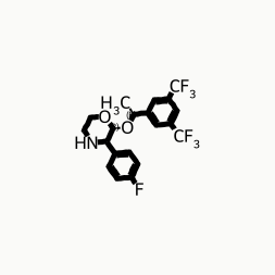 C[C@@H](O[C@H]1OCCNC1c1ccc(F)cc1)c1cc(C(F)(F)F)cc(C(F)(F)F)c1